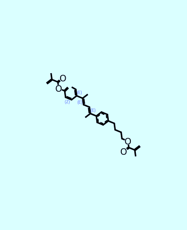 C=C(\C=C/C(=C\C)C(/C)=C/C=C(\C)c1ccc(CCCCOC(=O)C(=C)C)cc1)OC(=O)C(=C)C